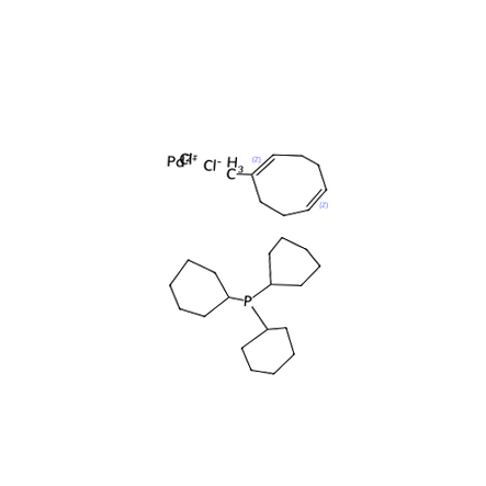 C/C1=C/CC/C=C\CC1.C1CCC(P(C2CCCCC2)C2CCCCC2)CC1.[Cl-].[Cl-].[Pd+2]